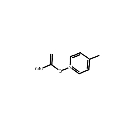 C=C(CCCC)O[n+]1ccc(C)cc1